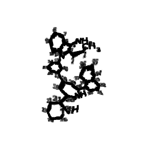 C/C=C\c1c(N)c2ccccc2n1-c1cccc(C2=CC(C3C=CC=CN3)NC(c3cccc4ccccc34)=C2)c1